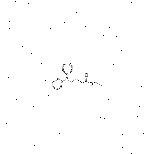 CCOC(=O)CCCP(c1ccccc1)c1ccccc1